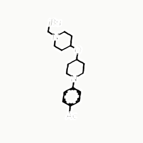 CCC(C)CN1CCC(OC2CCN(c3ccc(C(C)=O)cc3)CC2)CC1